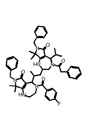 CC(C)C1C2=C(NC(CC(C)C3C4=C(NCCN3C(=O)c3ccc(F)cc3)C(C)(C)N(Cc3ccccc3)C4=O)CN1C(=O)Cc1ccccc1)C(C)(C)N(Cc1ccccc1)C2=O